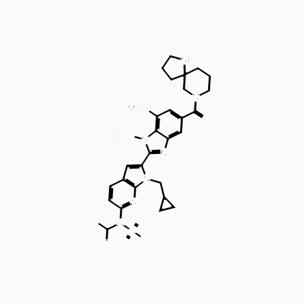 COc1cc(C(=O)N2CCCC3(CCCN3)C2)cc2nc(-c3cc4ccc(N(C(F)F)S(C)(=O)=O)nc4n3CC3CC3)n(C)c12